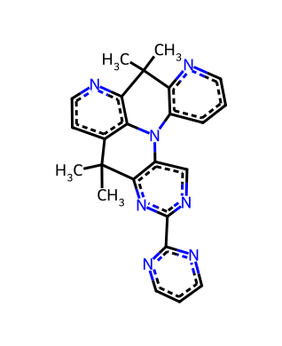 CC1(C)c2ccnc3c2N(c2cnc(-c4ncccn4)nc21)c1cccnc1C3(C)C